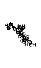 CC(C)c1ccccc1[C@@H]1CCCN1C1CC2(CCN(c3ccc(C(=O)NS(=O)(=O)c4cc5c(c([N+](=O)[O-])c4)N[C@@H]([C@H]4CC[C@](C)(O)CC4)CO5)c(Oc4cc5cc[nH]c5nc4NC[C@@H](C)O)c3)CC2)C1